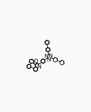 C1=CCCC(C2=CC=C(c3nc(-c4ccc(-c5ccccc5)cc4)nc(-c4ccc(-c5nc6cccc(-c7ccccc7)c6c6c5oc5ccccc56)cc4)n3)CC2)=C1